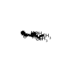 CC#CC[C@H](C)[C@H](O)/C=C/[C@@H]1[C@H]2CC(CCCCC(=O)N3CCCCC3)=C[C@H]2C[C@H]1O